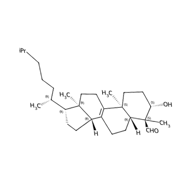 CC(C)CCC[C@@H](C)[C@H]1CC[C@H]2C3=C(CC[C@]12C)[C@@]1(C)CC[C@H](O)[C@@](C)(C=O)[C@@H]1CC3